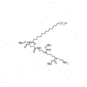 CC(C)(C)OC(=O)C(CCC(=O)NCCCN(CCCCN(CCCN)C(=O)OC(C)(C)C)C(=O)OC(C)(C)C)NC(=O)CCCCCCCCCCCCCC(=O)O